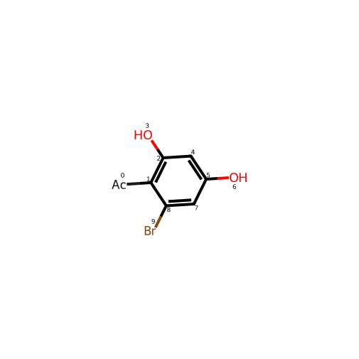 CC(=O)c1c(O)cc(O)cc1Br